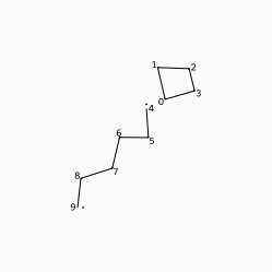 C1CCC1.[CH2]CCCC[CH2]